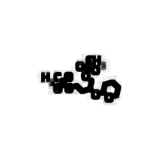 CS(=O)(=O)OCCC(COS(C)(=O)=O)OC1CCCCO1